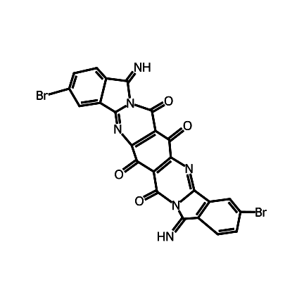 N=c1c2ccc(Br)cc2c2nc3c(=O)c4c(=O)n5c(=N)c6ccc(Br)cc6c5nc4c(=O)c3c(=O)n12